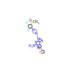 C[S+]([O-])c1cc(N2CCN(CCn3cnc4c3nc(N)n3nc(-c5ccco5)cc43)CC2)c(F)cc1F